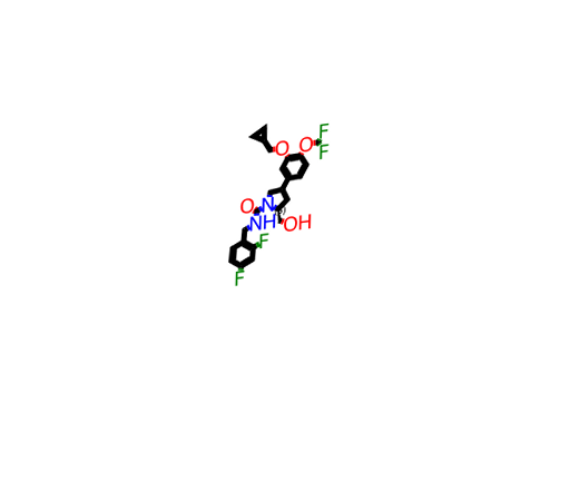 O=C(NCc1ccc(F)cc1F)N1CC(c2ccc(OC(F)F)c(OCC3CC3)c2)C[C@H]1CO